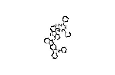 C1=CCC(C2=NC(c3ccccc3)NC(c3cccc4oc5c(-n6c7ccccc7c7cc8c9ccccc9n(-c9ccccc9)c8cc76)cccc5c34)N2)C=C1